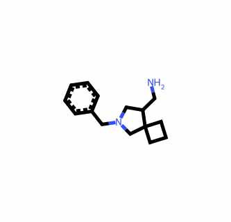 NCC1CN(Cc2ccccc2)CC12CCC2